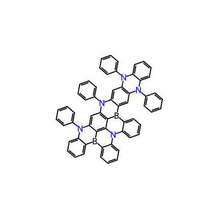 c1ccc(N2c3ccccc3N(c3ccccc3)c3cc4c(cc32)B2c3ccccc3N3c5ccccc5B5c6ccccc6N(c6ccccc6)c6cc(c2c3c65)N4c2ccccc2)cc1